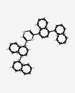 C1=C(c2ccc(-c3cccc4ccccc34)c3ccccc23)SC(c2ccc(-c3cccc4ccccc34)c3ccccc23)=CS1